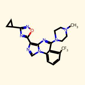 CN1CCN(c2nc3c(-c4nc(C5CC5)no4)ncn3c3cccc(C(F)(F)F)c23)CC1